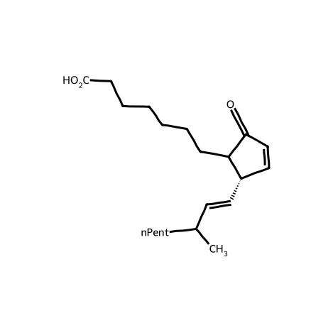 CCCCCC(C)/C=C/[C@H]1C=CC(=O)C1CCCCCCC(=O)O